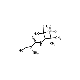 CC1(C)C(NC(=O)[C@H](N)CO)C(C)(C)S1(=O)=O